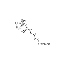 CCCCCCCCCCCCCCOC(=O)C[N+](C)(C)CCC